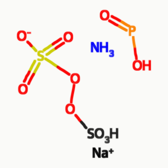 N.O=PO.O=S(=O)([O-])OOS(=O)(=O)O.[Na+]